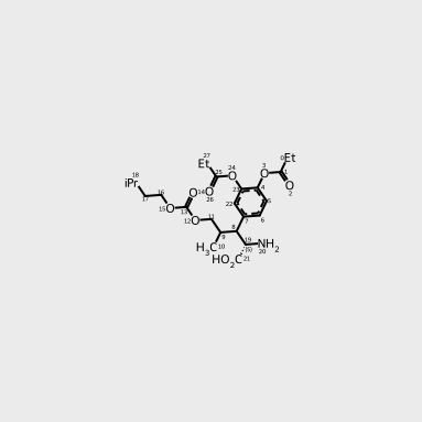 CCC(=O)Oc1ccc(C(C(C)COC(=O)OCCC(C)C)[C@H](N)C(=O)O)cc1OC(=O)CC